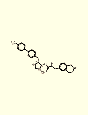 O=C(NCc1ccc2c(c1)CCNC2)O[C@@H]1[C@@H](O)CN[C@@H]1Cc1ccc(-c2ccc(C(F)(F)F)cc2)cc1